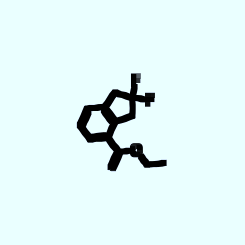 C=C(OCC)c1cccc2c1CC(F)(F)C2